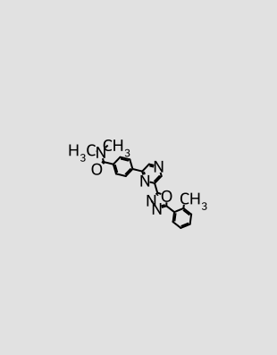 Cc1ccccc1-c1nnc(-c2cncc(-c3ccc(C(=O)N(C)C)cc3)n2)o1